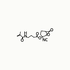 [C-]#[N+]C1(OC(=O)CCCNC(=O)C(=C)C)CCC2CC1OC2=O